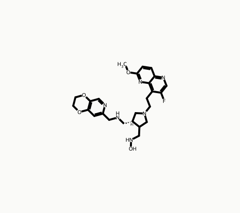 COc1ccc2ncc(F)c(CCN3CC(CNO)[C@H](CNCc4cc5c(cn4)OCCO5)C3)c2n1